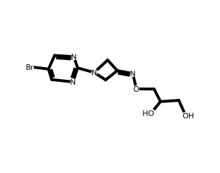 OCC(O)CON=C1CN(c2ncc(Br)cn2)C1